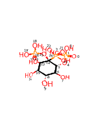 O=P(O)(O)O[C@@H]1[C@@H](O)[C@H](O)[C@@H](O)[C@@H](O)[C@]1(OP(=O)(O)O)P(=O)(O)O